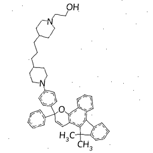 CC1(C)c2ccccc2-c2c1c1c(c3ccccc23)OC(c2ccccc2)(c2ccc(N3CCC(CCCC4CCN(CCO)CC4)CC3)cc2)C=C1